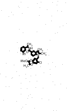 COC(=O)C(C)Oc1ccc(Cn2c(C)c(C)c3cc(C(=O)NC(C)c4cccc(C(C)C)c4)ccc32)c(Cl)c1